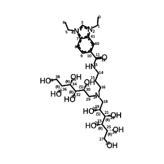 CCn1c[n+](CC)c2ccc(C(=O)NCCCN(C[C@H](O)[C@@H](O)[C@H](O)[C@H](O)CO)C[C@H](O)[C@@H](O)[C@H](O)[C@H](O)CO)cc21